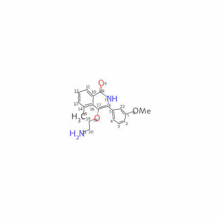 COc1cccc(-c2[nH]c(=O)c3cccc(C)c3c2OCCN)c1